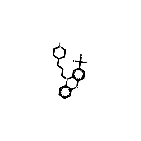 FC(F)(F)c1ccc2c(c1)N(CCCC1CCNCC1)c1ccccc1S2